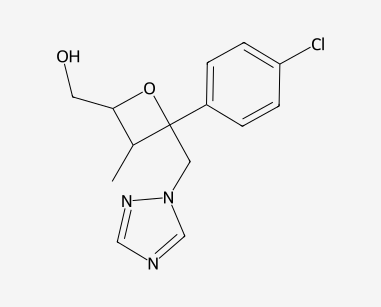 CC1C(CO)OC1(Cn1cncn1)c1ccc(Cl)cc1